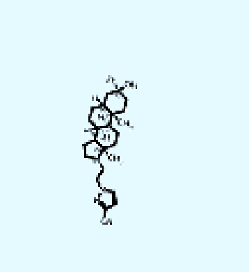 CC[C@@]1(O)CC[C@@]2(C)[C@H](CC[C@@H]3[C@@H]2CC[C@]2(C)[C@@H](CCn4ccc(C#N)n4)CC[C@@H]32)C1